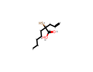 C=CCC(S)(CCCCC)C(=O)O